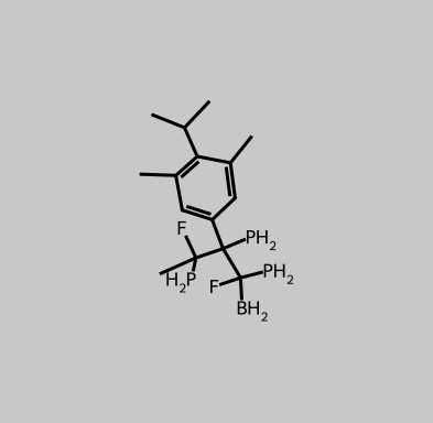 BC(F)(P)C(P)(c1cc(C)c(C(C)C)c(C)c1)C(C)(F)P